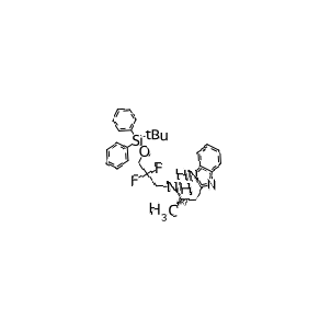 C[C@H](Cc1nc2ccccc2[nH]1)NCC(F)(F)CO[Si](c1ccccc1)(c1ccccc1)C(C)(C)C